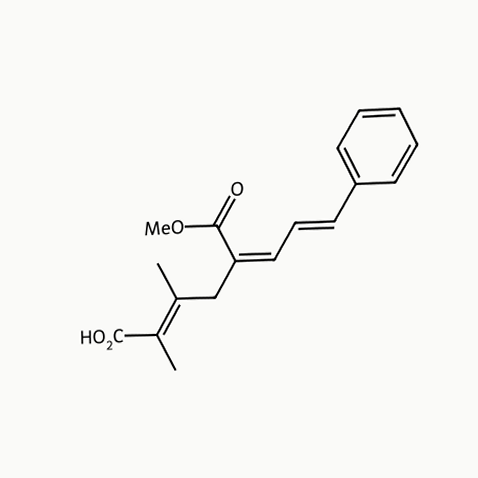 COC(=O)C(=CC=Cc1ccccc1)CC(C)=C(C)C(=O)O